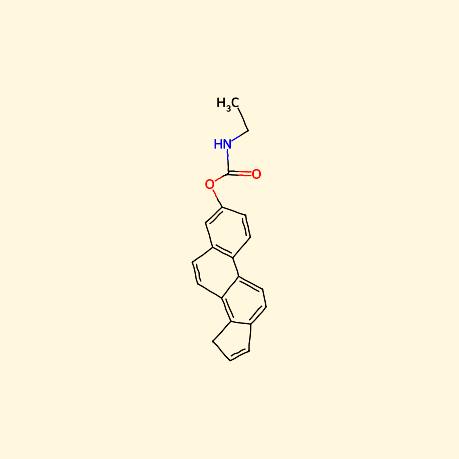 CCNC(=O)Oc1ccc2c(ccc3c4c(ccc32)C=CC4)c1